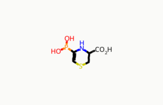 O=C(O)C1CSC=C(P(O)O)N1